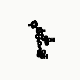 Cc1cccc(N(CCOCCOCCOS(=O)(=O)O)CC(C)OCCCS(=O)(=O)O)c1